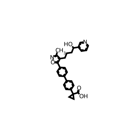 Cc1noc(-c2ccc(-c3ccc(C4(C(=O)O)CC4)cc3)cc2)c1CCCC(O)c1cccnc1